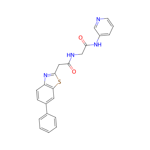 O=C(Cc1nc2ccc(-c3ccccc3)cc2s1)NCC(=O)Nc1cccnc1